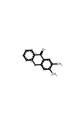 Cc1cc2c(cc1C)C(=O)c1ccccc1C2